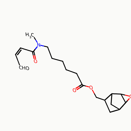 CN(CCCCCC(=O)OCC1CC2CC1C1OC21)C(=O)/C=C\C=O